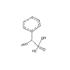 COC(c1ccccc1)P(=O)(O)O